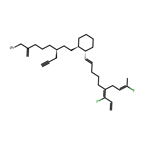 C#CC[C@@H](CCCC(=C)CC(C)C)CC[C@H]1CCCC[C@@H]1/C=C/CCC/C(C/C=C(\C)F)=C(\F)C=C